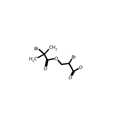 CC(C)(Br)C(=O)OCC(Br)C([O])=O